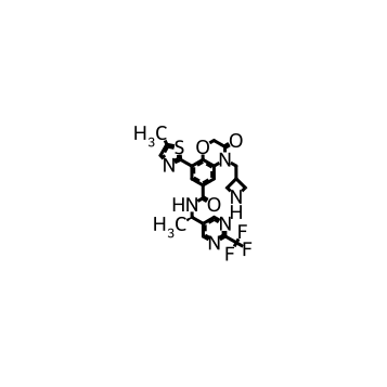 Cc1cnc(-c2cc(C(=O)N[C@H](C)c3cnc(C(F)(F)F)nc3)cc3c2OCC(=O)N3CC2CNC2)s1